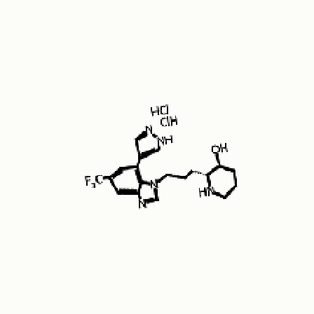 Cl.Cl.O[C@H]1CCCN[C@@H]1CCCn1cnc2cc(C(F)(F)F)cc(-c3cn[nH]c3)c21